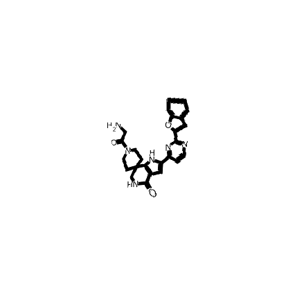 NCC(=O)N1CCC2(CC1)CNC(=O)c1cc(-c3ccnc(-c4cc5ccccc5o4)n3)[nH]c12